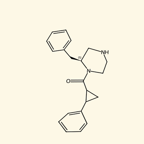 O=C(C1CC1c1ccccc1)N1CCNC[C@@H]1Cc1ccccc1